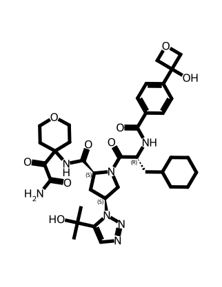 CC(C)(O)c1cnnn1[C@H]1C[C@@H](C(=O)NC2(C(=O)C(N)=O)CCOCC2)N(C(=O)[C@@H](CC2CCCCC2)NC(=O)c2ccc(C3(O)COC3)cc2)C1